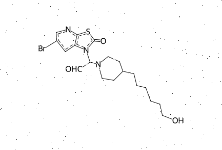 O=CC(N1CCC(CCCCCCO)CC1)n1c(=O)sc2ncc(Br)cc21